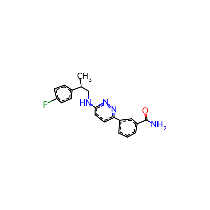 C[C@@H](CNc1ccc(-c2cccc(C(N)=O)c2)nn1)c1ccc(F)cc1